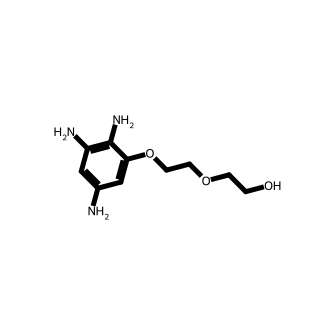 Nc1cc(N)c(N)c(OCCOCCO)c1